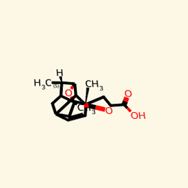 C[C@@H]1C2OC3(C)CC4(C=CC(=O)[C@@](C)(CCC(=O)O)C24)CC13